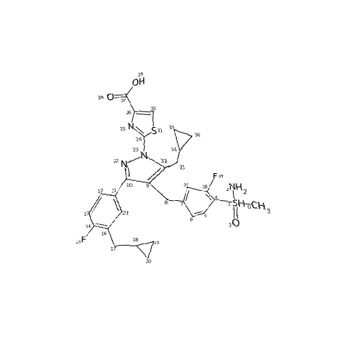 C[SH](N)(=O)c1ccc(Cc2c(-c3ccc(F)c(CC4CC4)c3)nn(-c3nc(C(=O)O)cs3)c2CC2CC2)cc1F